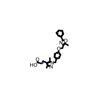 Cc1nn(Cc2ccc(OCc3nc(-c4ccccc4)oc3C)cc2)c(C)c1/C=C/C(=O)O